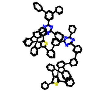 c1ccc(-c2cc(-c3ccccc3)cc(-c3nc(-c4ccccc4)nc(-c4ccc5c(c4)C4(c6ccccc6-5)c5ccccc5-c5c(-c6ccccc6-c6cccc(-c7nc(-c8ccccc8)nc(-c8cccc(-c9cccc(-c%10cccc%11c%10-c%10ccccc%10C%11%10c%11ccccc%11-c%11c(-c%12ccccc%12)sc(-c%12ccccc%12)c%11%10)c9)c8)n7)c6)sc(-c6ccccc6)c54)n3)c2)cc1